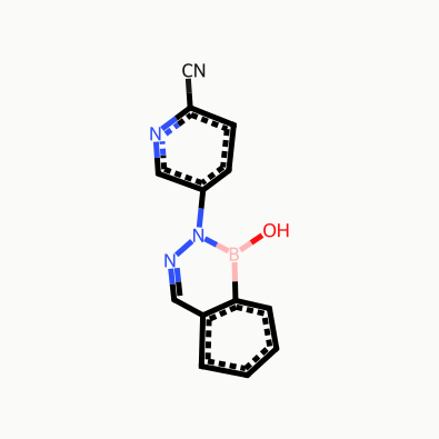 N#Cc1ccc(N2N=Cc3ccccc3B2O)cn1